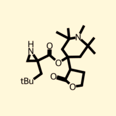 CN1C(C)(C)CC(OC(=O)C2(CC(C)(C)C)CN2)(C2CCOC2=O)CC1(C)C